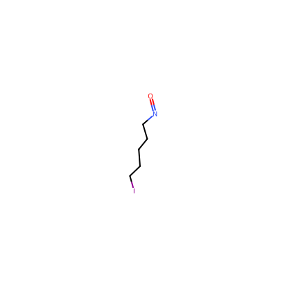 O=NCCCCCI